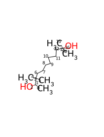 CC(O)C(C)(C)CCCCCCCC(C)(C)O